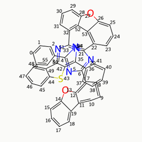 c1ccc(-c2nc(-c3cccc4c3oc3ccccc34)nc(-c3cccc4oc5cccc(-c6nc(-c7ccccc7)c7sc8ccccc8c7n6)c5c34)n2)cc1